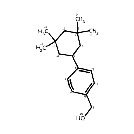 CC1(C)CC(c2ccc(CO)cc2)CC(C)(C)C1